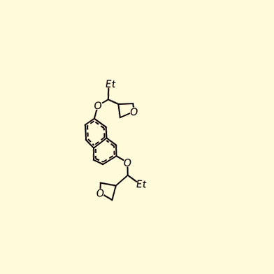 CCC(Oc1ccc2ccc(OC(CC)C3COC3)cc2c1)C1COC1